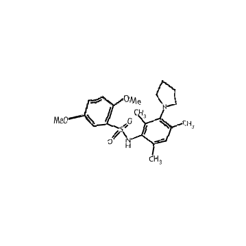 COc1ccc(OC)c(S(=O)(=O)Nc2c(C)cc(C)c(N3CCCC3)c2C)c1